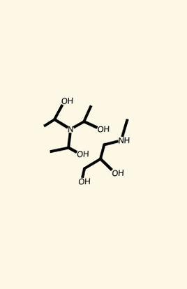 CC(O)N(C(C)O)C(C)O.CNCC(O)CO